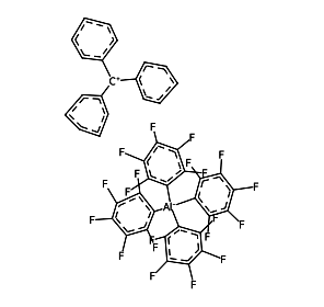 Fc1c(F)c(F)[c]([Al-]([c]2c(F)c(F)c(F)c(F)c2F)([c]2c(F)c(F)c(F)c(F)c2F)[c]2c(F)c(F)c(F)c(F)c2F)c(F)c1F.c1ccc([C+](c2ccccc2)c2ccccc2)cc1